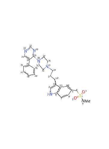 CNS(=O)(=O)Cc1ccc2[nH]cc(CCCN3CCN(c4ncncc4-c4ccccc4)CC3)c2c1